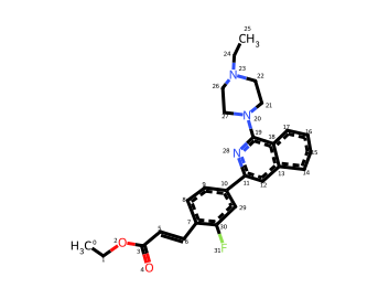 CCOC(=O)C=Cc1ccc(-c2cc3ccccc3c(N3CCN(CC)CC3)n2)cc1F